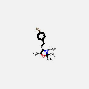 C[C@H]1OC(C)(C)N(C(=O)O)[C@H]1CCc1ccc(Br)cc1